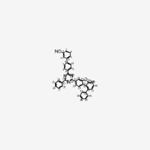 N#Cc1cccc(-c2ccc(-c3nc(-c4ccccc4)nc(-c4ccc5c(c4)oc4nccc(-c6ccccc6)c45)n3)cc2)c1